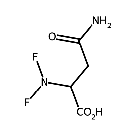 NC(=O)CC(C(=O)O)N(F)F